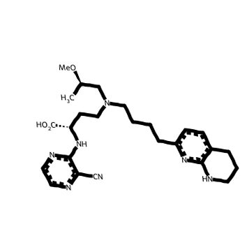 CO[C@H](C)CN(CCCCc1ccc2c(n1)NCCC2)CC[C@H](Nc1nccnc1C#N)C(=O)O